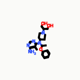 Cc1c(N)ncnc1N(C1CCN(C(CO)CO)CC1)C(C)Oc1ccccc1